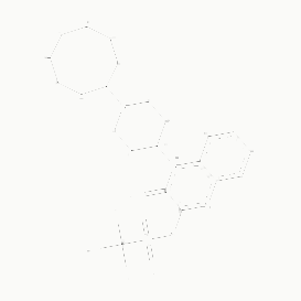 O=c1c(NS(=O)(=O)C(F)(F)F)nc2ccccc2n1C1CCN(C2CCCCCCC2)CC1